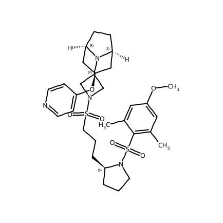 COc1cc(C)c(S(=O)(=O)N2CCC[C@H]2CCCS(=O)(=O)N2CC(N3[C@@H]4CC[C@H]3C[C@@H](Oc3ccncc3)C4)C2)c(C)c1